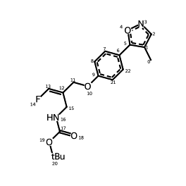 Cc1cnoc1-c1ccc(OC/C(=C/F)CNC(=O)OC(C)(C)C)cc1